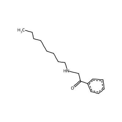 CCCCCCCCNCC(=O)c1ccccc1